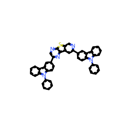 c1ccc(-n2c3ccccc3c3cc(-c4cc5c(cn4)sc4ncc(-c6ccc7c(c6)c6ccccc6n7-c6ccccc6)nc45)ccc32)cc1